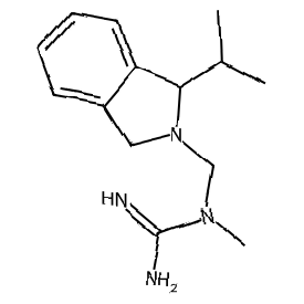 CC(C)C1c2ccccc2CN1CN(C)C(=N)N